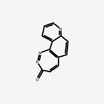 O=c1ccc2ccc3ncccc3c2nn1